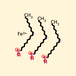 CCCCCCCC/C=C\CCCCCCCC[PH](=O)[O-].CCCCCCCC/C=C\CCCCCCCC[PH](=O)[O-].CCCCCCCC/C=C\CCCCCCCC[PH](=O)[O-].[Fe+3]